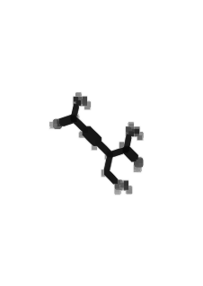 CCC(C#CC(N)=O)C(N)=O